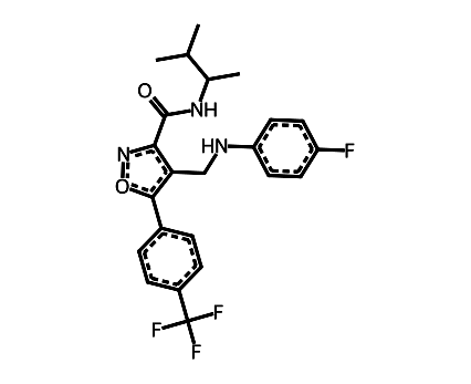 CC(C)C(C)NC(=O)c1noc(-c2ccc(C(F)(F)F)cc2)c1CNc1ccc(F)cc1